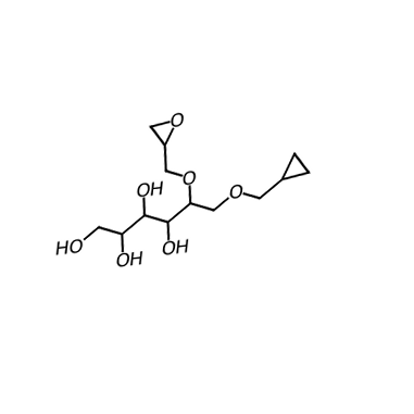 OCC(O)C(O)C(O)C(COCC1CC1)OCC1CO1